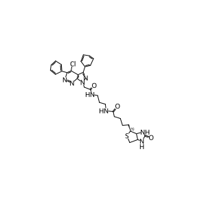 O=C(CCCC[C@@H]1SCC2NC(=O)NC21)NCCCNC(=O)Cn1nc(-c2ccccc2)c2c(Cl)c(-c3ccccc3)nnc21